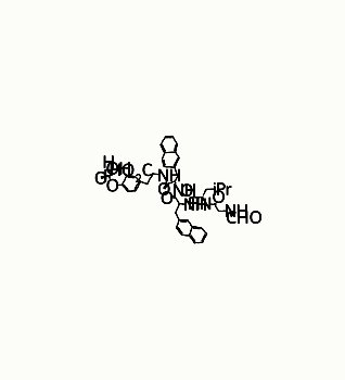 CC(C)C[C@@H](NC(=O)CNC=O)C(=O)NC(Cc1ccc2ccccc2c1)C(=O)NC(Cc1ccc2ccccc2c1)C(=O)NC(Cc1ccc(O[PH](=O)O)cc1)C(=O)O